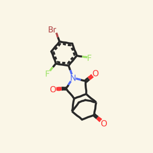 O=C1CC2CCC1C1C(=O)N(c3c(F)cc(Br)cc3F)C(=O)C21